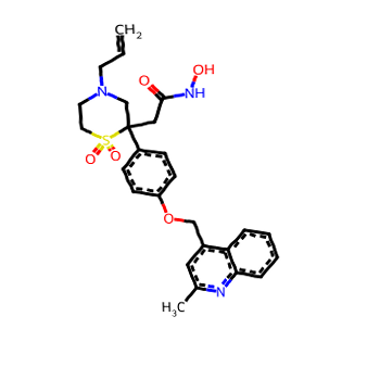 C=CCN1CCS(=O)(=O)C(CC(=O)NO)(c2ccc(OCc3cc(C)nc4ccccc34)cc2)C1